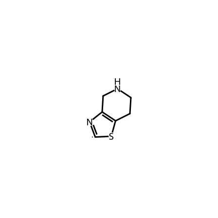 [c]1nc2c(s1)CCNC2